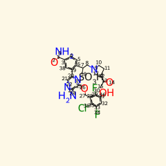 NC(=O)c1ccc(C(CN2CCC(C(=O)CO)C2)S(=O)(=O)O)c(-c2cnc(N)c(OCc3c(F)ccc(F)c3Cl)n2)c1